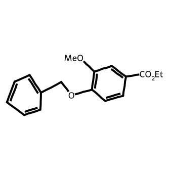 CCOC(=O)c1ccc(OCc2ccccc2)c(OC)c1